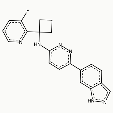 Fc1cccnc1C1(Nc2ccc(-c3ccc4cn[nH]c4c3)nn2)CCC1